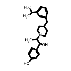 CC(C)c1cccc(CC2CCN(C(C)C(O)c3ccc(O)cc3)CC2)c1